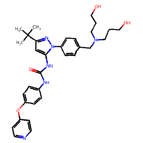 CC(C)(C)c1cc(NC(=O)Nc2ccc(Oc3ccncc3)cc2)n(-c2ccc(CN(CCCO)CCCO)cc2)n1